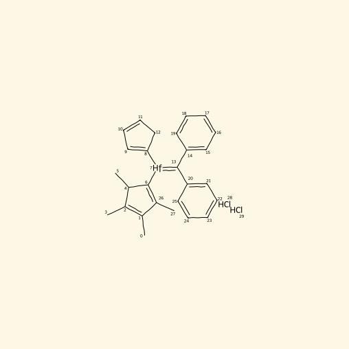 CC1=C(C)C(C)[C]([Hf]([C]2=CC=CC2)=[C](c2ccccc2)c2ccccc2)=C1C.Cl.Cl